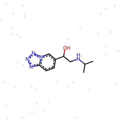 CC(C)NCC(O)c1ccc2nnnn2c1